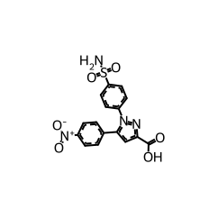 NS(=O)(=O)c1ccc(-n2nc(C(=O)O)cc2-c2ccc([N+](=O)[O-])cc2)cc1